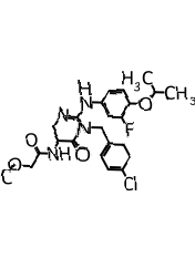 COCC(=O)NC1CN=C(NC2=CC(F)C(OC(C)C)C=C2)N(CC2=CC=C(Cl)CC2)C1=O